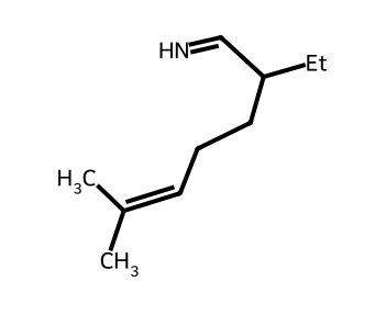 CCC(C=N)CCC=C(C)C